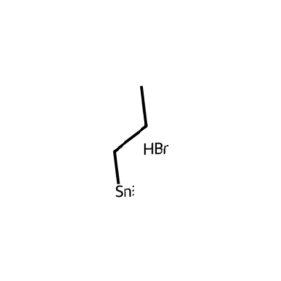 Br.CC[CH2][Sn]